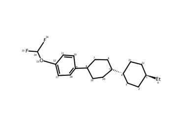 CC[C@H]1CC[C@H](C2CCC(c3ccc(OC(F)F)cc3)CC2)CC1